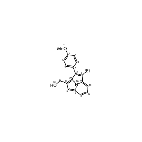 CCc1c(-c2ccc(OC)cc2)c2c(CO)cc3cccc1n32